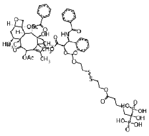 CC(=O)O[C@H]1C(=O)[C@@]2(C)[C@H]([C@H](OC(=O)c3ccccc3)[C@]3(O)CC(OC(=O)[C@H](OC(=O)OCCSSCCOC(=O)CCCCC(O)(P(=O)(O)O)P(=O)(O)O)[C@@H](NC(=O)c4ccccc4)c4ccccc4)C(C)=C1C3(C)C)[C@]1(OC(C)=O)CO[C@@H]1C[C@@H]2O